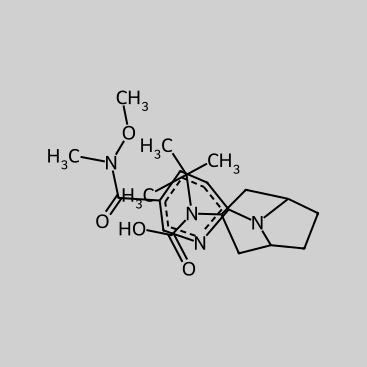 CON(C)C(=O)c1ccc(N2C3CCC2CC(N(C(=O)O)C(C)(C)C)C3)nc1